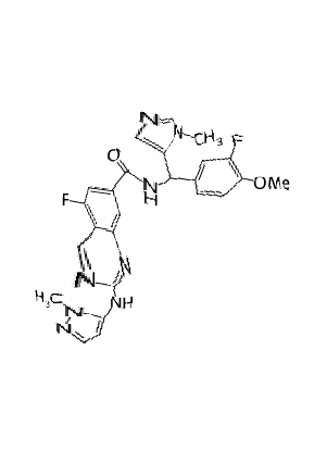 COc1ccc(C(NC(=O)c2cc(F)c3cnc(Nc4ccnn4C)nc3c2)c2cncn2C)cc1F